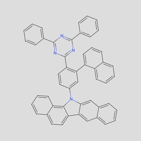 c1ccc(-c2nc(-c3ccccc3)nc(-c3ccc(-n4c5cc6ccccc6cc5c5ccc6ccccc6c54)cc3-c3cccc4ccccc34)n2)cc1